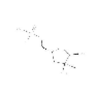 B[C@@H]1O[C@H](COP(=O)(O)O)[C@@H](O)[C@@]1(C)O